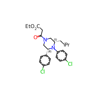 CCOC(=O)CC(=O)N1C[C@H](CC(C)C)N(c2ccc(Cl)cc2)[C@H](c2ccc(Cl)cc2)C1